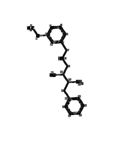 COc1cccc(CNCC(O)C(N)Cc2ccccc2)c1